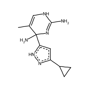 CC1=CNC(N)=NC1(N)c1cc(C2CC2)n[nH]1